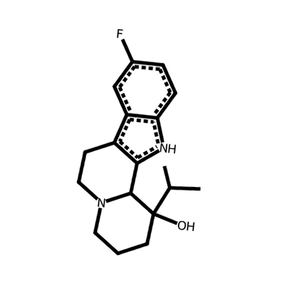 CC(C)C1(O)CCCN2CCc3c([nH]c4ccc(F)cc34)C21